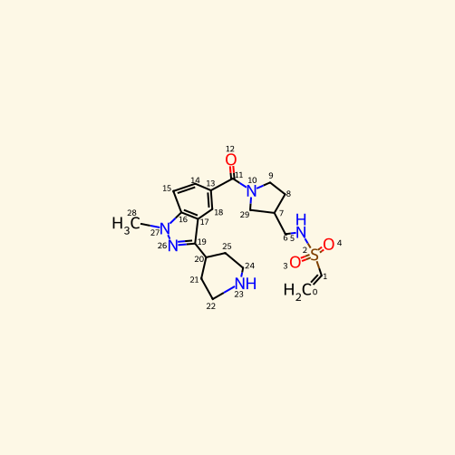 C=CS(=O)(=O)NCC1CCN(C(=O)c2ccc3c(c2)c(C2CCNCC2)nn3C)C1